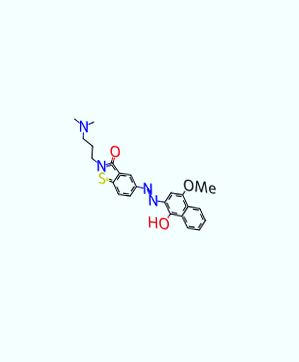 COc1cc(N=Nc2ccc3sn(CCCN(C)C)c(=O)c3c2)c(O)c2ccccc12